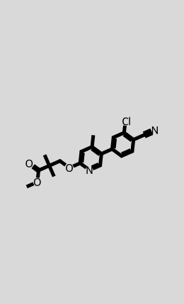 COC(=O)C(C)(C)COc1cc(C)c(-c2ccc(C#N)c(Cl)c2)cn1